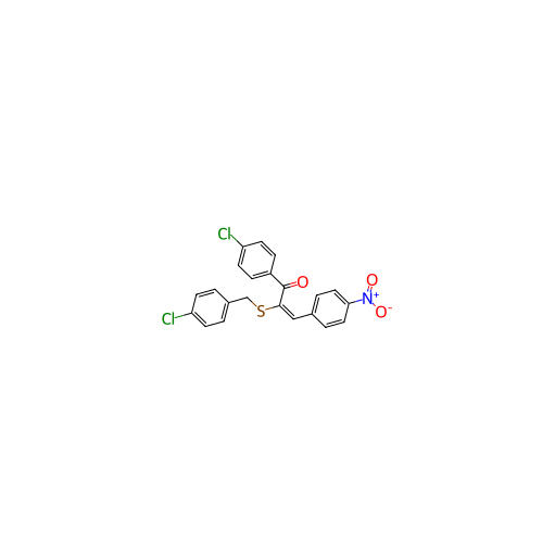 O=C(/C(=C\c1ccc([N+](=O)[O-])cc1)SCc1ccc(Cl)cc1)c1ccc(Cl)cc1